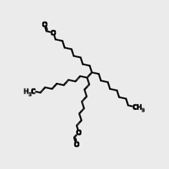 CCCCCCCCCC(CCCCCCCCOC=O)C(CCCCCCCCC)CCCCCCCCOC=O